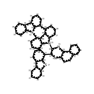 c1ccc2c(c1)ccc1nc(-c3cccc4c3sc3ccccc34)c(-n3c4cccc5c6cccc7c8ccccc8n(c8cccc3c8c54)c67)nc12